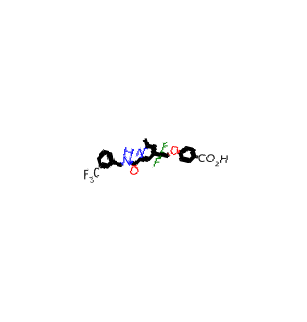 Cc1cc(C(F)(F)COc2ccc(C(=O)O)cc2)cc(C(=O)NCc2cccc(C(F)(F)F)c2)n1